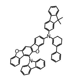 CC1(C)c2ccccc2-c2ccc(N(C3=CC(c4ccccc4)=CCC3)c3ccc4c(c3)oc3c(-n5c6ccccc6c6ccccc65)c5c(cc34)oc3ccccc35)cc21